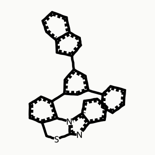 c1ccc(-c2cc(-c3ccc4ccccc4c3)cc(-c3cccc4c3-n3c(nc5ccccc53)SC4)c2)cc1